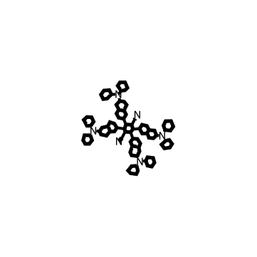 N#Cc1c(-c2ccc3cc(N(c4ccccc4)c4ccccc4)ccc3c2)c(-c2ccc3cc(N(c4ccccc4)c4ccccc4)ccc3c2)c(C#N)c(-c2ccc3cc(N(c4ccccc4)c4ccccc4)ccc3c2)c1-c1ccc2cc(N(c3ccccc3)c3ccccc3)ccc2c1